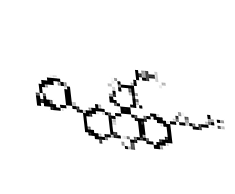 CC(=O)COc1ccc2c(c1)C1(COC(N)=N1)c1cc(-c3cccnc3)ccc1O2